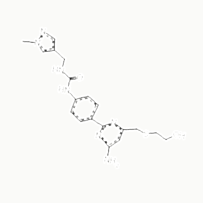 Cn1cc(CNC(=O)Nc2ccc(-c3nc(N)cc(CSCCO)n3)cc2)cn1